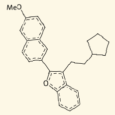 COc1ccc2cc(-c3oc4ccccc4c3CCC3CCCC3)ccc2c1